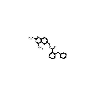 Nc1nc(N)c2cc(COC(=O)c3ccccc3Cc3ccccc3)ccc2n1